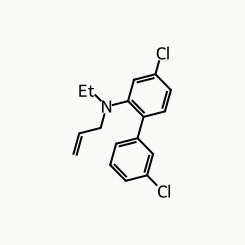 C=CCN(CC)c1cc(Cl)ccc1-c1cccc(Cl)c1